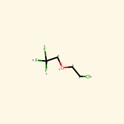 FC(F)(F)COCCCl